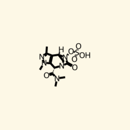 Cc1nn(C)c2c1[C@H]1CN(C(=O)N1OS(=O)(=O)O)[C@@H]2C(=O)N(C)C